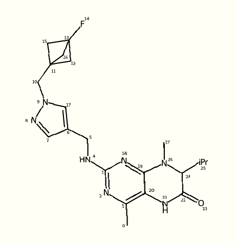 Cc1nc(NCc2cnn(CC34CC(F)(C3)C4)c2)nc2c1NC(=O)C(C(C)C)N2C